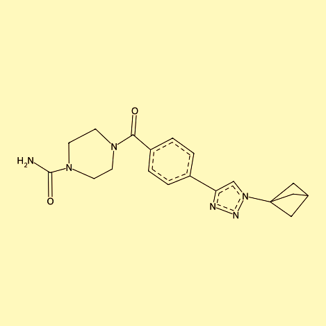 NC(=O)N1CCN(C(=O)c2ccc(-c3cn(C45CC(C4)C5)nn3)cc2)CC1